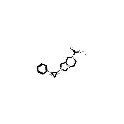 NC(=O)N1CCN2CN([C@H]3C[C@@H]3c3ccccc3)CC2C1